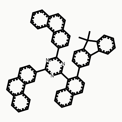 CC1(C)c2ccccc2-c2cc(-c3ccc4ccccc4c3-c3nc(-c4ccc5ccc6ccccc6c5c4)nc(-c4ccc5ccc6ccccc6c5c4)n3)ccc21